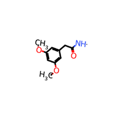 COc1cc(CC([NH])=O)cc(OC)c1